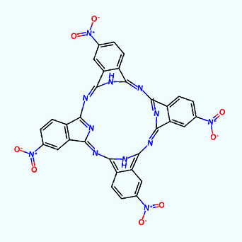 O=[N+]([O-])c1ccc2c(c1)-c1nc-2nc2[nH]c(nc3nc(nc4[nH]c(n1)c1ccc([N+](=O)[O-])cc41)-c1cc([N+](=O)[O-])ccc1-3)c1ccc([N+](=O)[O-])cc21